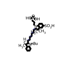 CCCC[N+]1=C(/C=C/C=C/C=C/C=C2/N(CCCP(=O)(O)O)c3ccc(S(=O)(=O)O)cc3C2(C)C)C(C)(C)c2ccccc21